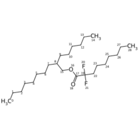 CCCCCCCCC(CCCCCC)COC(=O)C(F)(F)CCCCCCC